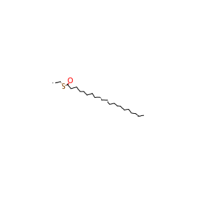 [CH2]CSC(=O)CCCCCCCCCCCCCCCCCCCC